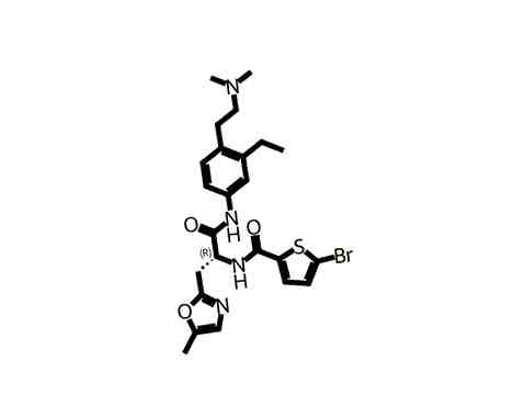 CCc1cc(NC(=O)[C@@H](Cc2ncc(C)o2)NC(=O)c2ccc(Br)s2)ccc1CCN(C)C